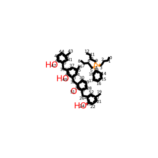 CCCC[P+](CCCC)(CCCC)c1ccccc1.Cc1ccc(O)c(Cc2cccc(Cc3cc(C)cc(Cc4cc(C)ccc4O)c3O)c2[O-])c1